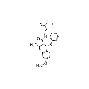 COc1ccc([C@H]2Sc3ccccc3N(CCC(C)=O)C(=O)[C@@H]2C(C)=O)cc1